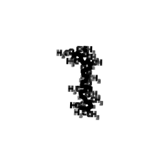 CCC1(C2OC(C3OC(C)(CO)C(C)CC3C)CC2C)CCC(C2(C)CCC3(CC(O)C(C)C(C(C)C(OC)C(C)C(=O)OC)O3)O2)O1